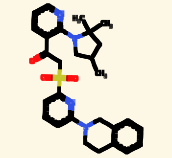 CC1CN(c2ncccc2C(=O)CS(=O)(=O)c2cccc(N3CCc4ccccc4C3)n2)C(C)(C)C1